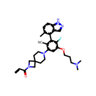 C=CC(=O)N1CC2(CCN(c3cc(OCCCN(C)C)c(F)c(-c4c(C)ccc5[nH]ncc45)c3C#N)CC2)C1